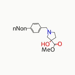 CCCCCCCCCc1ccc(CN2CC[C@](O)(C(=O)OC)C2)cc1